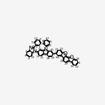 c1ccc(-c2nc3ccccc3n2-c2ccc3c4ccc(-c5ccc6oc7c(ccc8c9ccccc9oc87)c6c5)cc4n(-c4ccccc4)c3c2)cc1